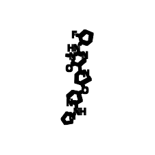 Cn1c(Nc2ccccc2F)ncc(-c2ccc(Oc3ccnc(NN4CCCC4)c3)cn2)c1=O